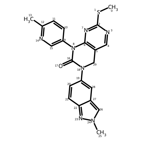 CSc1ncc2c(n1)N(c1ccc(C)nc1)C(=O)N(c1ccc3nn(C)cc3c1)C2